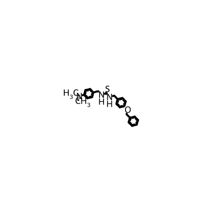 CN(C)c1ccc(CNC(=S)NCc2ccc(OCc3ccccc3)cc2)cc1